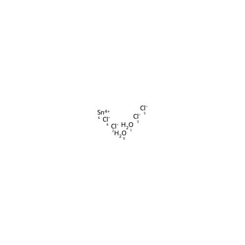 O.O.[Cl-].[Cl-].[Cl-].[Cl-].[Sn+4]